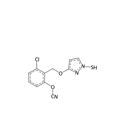 N#COc1cccc(Cl)c1COc1ccn(S)n1